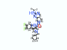 CC(C)Nc1ncc2c(n1)CN(C(=O)N[C@@H]1CN(Cc3ccccc3)C[C@H]1c1ccc(F)c(F)c1)CC2